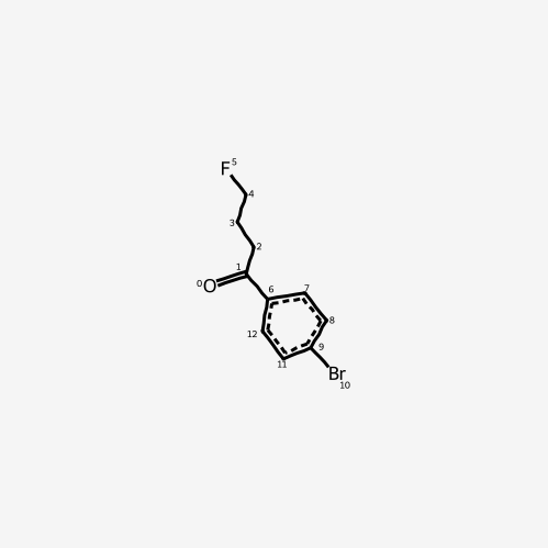 O=C(CCCF)c1ccc(Br)cc1